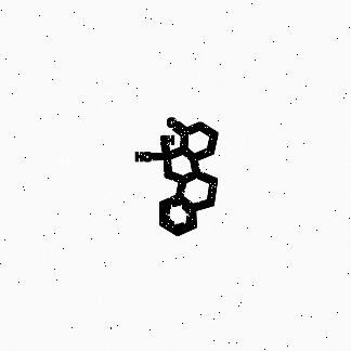 O=C1CCCC2C1C(O)(S)CC1c3ccccc3CCN12